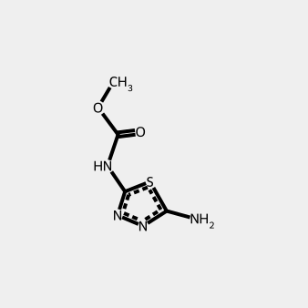 COC(=O)Nc1nnc(N)s1